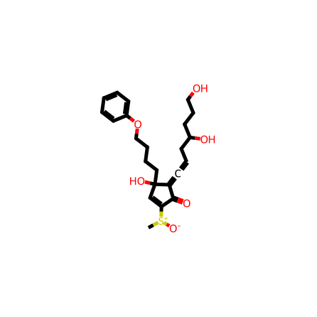 C[S+]([O-])C1=CC(O)(CCCCOc2ccccc2)C(=C=CCC(O)CCCO)C1=O